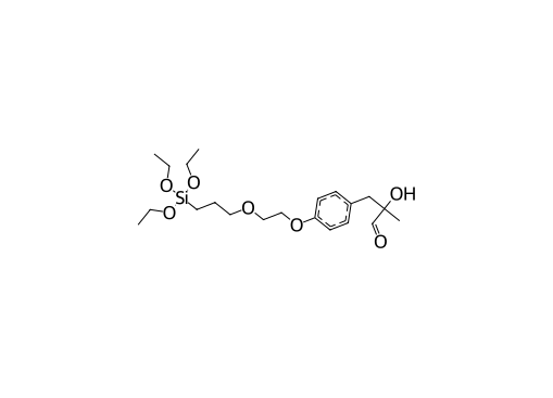 CCO[Si](CCCOCCOc1ccc(CC(C)(O)C=O)cc1)(OCC)OCC